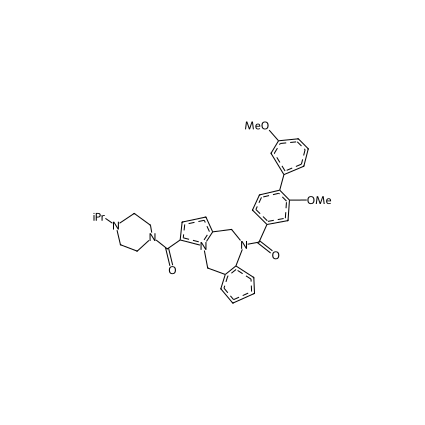 COc1cccc(-c2ccc(C(=O)N3Cc4ccc(C(=O)N5CCN(C(C)C)CC5)n4Cc4ccccc43)cc2OC)c1